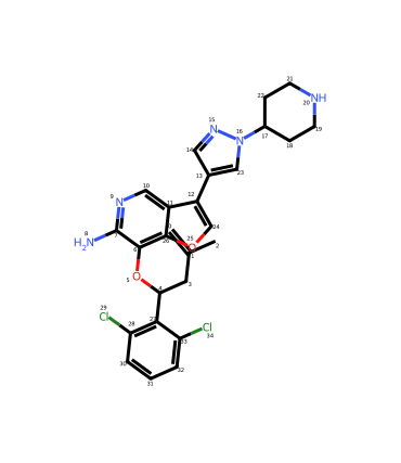 C=C(C)CC(Oc1c(N)ncc2c(-c3cnn(C4CCNCC4)c3)coc12)c1c(Cl)cccc1Cl